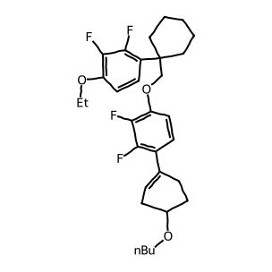 CCCCOC1CC=C(c2ccc(OCC3(c4ccc(OCC)c(F)c4F)CCCCC3)c(F)c2F)CC1